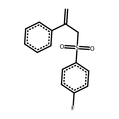 C=C(CS(=O)(=O)c1ccc(F)cc1)c1ccccc1